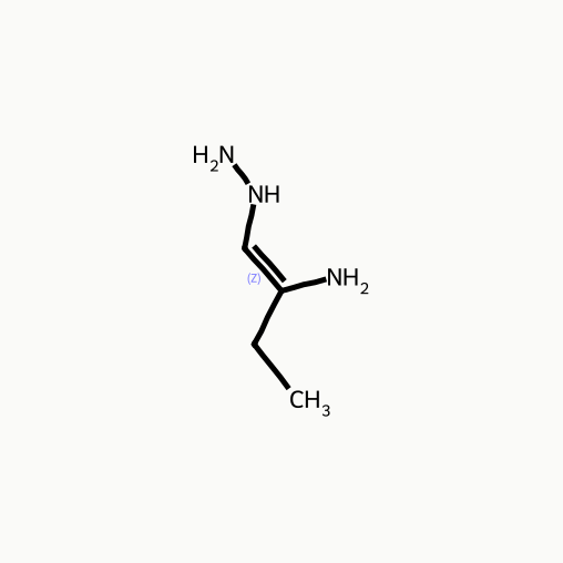 CC/C(N)=C/NN